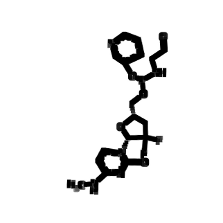 CNc1ccn([C@@H]2O[C@H](COP(NCC=O)Oc3cccnc3)CC2(F)F)c(=O)n1